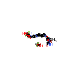 Cn1c(=O)n([C@@H]2CCC(=O)NC2=O)c2ccc(CCCN3CCc4cc(-c5ccc6cn(C7CCC(CNC(=O)c8cc(F)c(O)c(F)c8F)CC7)nc6c5)ccc4C3)cc21.O=C(O)C(F)(F)F